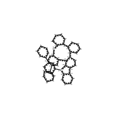 c1ccc(-c2cccc(-n3c4ccccc4c4ccc5c6ccccc6c6ccccc6oc6ccc(-c7ccccc7)cc6c5c43)c2)cc1